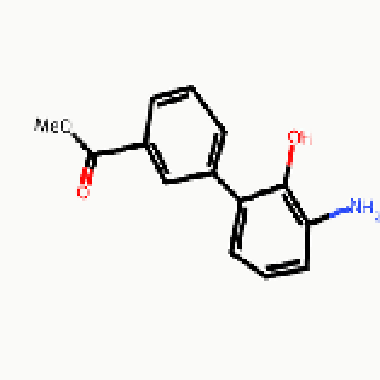 COC(=O)c1cccc(-c2cccc(N)c2O)c1